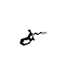 Cc1c2ccccc2c(C)n1CCCO